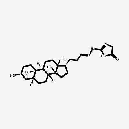 C[C@]12CC[C@H](O)C[C@H]1CC[C@@H]1[C@@H]2CC[C@]2(C)[C@@H](CC/C=N/NC3=NCC(=O)N3)CC[C@]12O